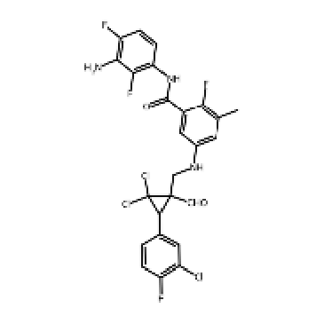 Cc1cc(NCC2(C=O)C(c3ccc(F)c(Cl)c3)C2(Cl)Cl)cc(C(=O)Nc2ccc(F)c(N)c2F)c1F